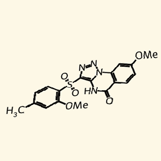 COc1ccc2c(=O)[nH]c3c(S(=O)(=O)c4ccc(C)cc4OC)nnn3c2c1